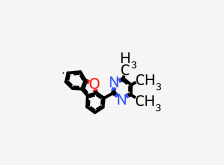 Cc1nc(-c2cccc3c2oc2c[c]ccc23)nc(C)c1C